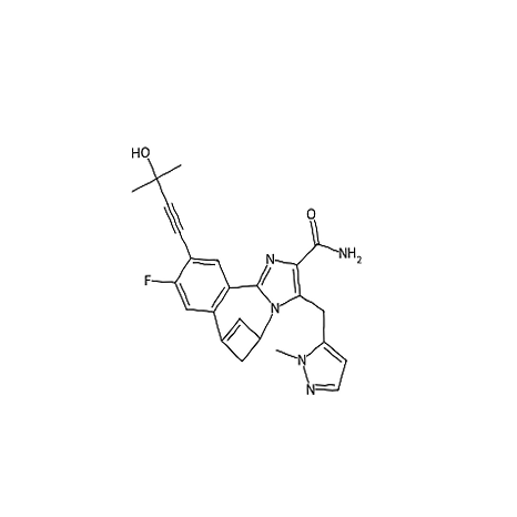 Cn1nccc1Cc1c(C(N)=O)nc2n1C1C=C(C1)c1cc(F)c(C#CC(C)(C)O)cc1-2